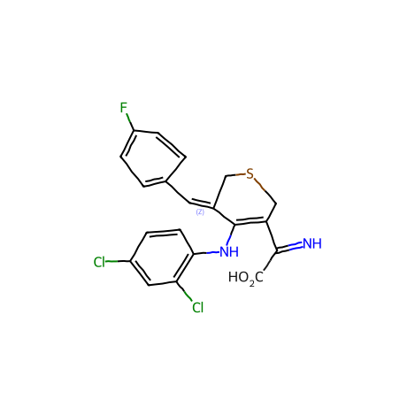 N=C(C(=O)O)C1=C(Nc2ccc(Cl)cc2Cl)/C(=C/c2ccc(F)cc2)CSC1